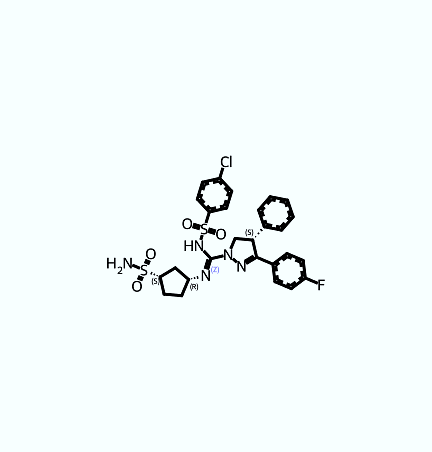 NS(=O)(=O)[C@H]1CC[C@@H](/N=C(\NS(=O)(=O)c2ccc(Cl)cc2)N2C[C@H](c3ccccc3)C(c3ccc(F)cc3)=N2)C1